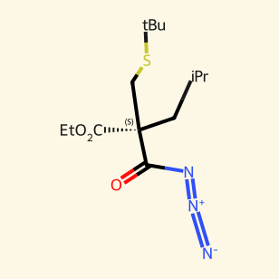 CCOC(=O)[C@](CSC(C)(C)C)(CC(C)C)C(=O)N=[N+]=[N-]